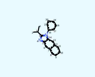 CC(C)c1nc2cc3ccccc3cc2n1-c1ccccc1